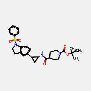 CC(C)(C)OC(=O)N1CCC(C(=O)N[C@@H]2C[C@H]2c2ccc3c(c2)CCN3S(=O)(=O)c2ccccc2)CC1